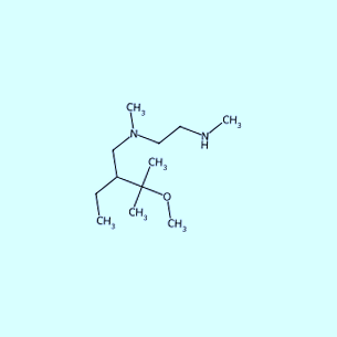 CCC(CN(C)CCNC)C(C)(C)OC